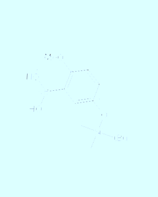 COc1ccc(O[Si](C)(C)C(C)(C)C)cc1B(O)O